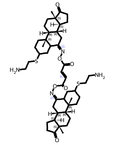 C[C@]12CCC(SCCN)CC1/C(=N\OC(=O)/C=C/C(=O)O/N=C1/C[C@@H]3[C@@H](CC[C@]4(C)C(=O)CC[C@@H]34)[C@@]3(C)CCC(SCCN)CC13)C[C@@H]1[C@H]2CC[C@]2(C)C(=O)CC[C@@H]12